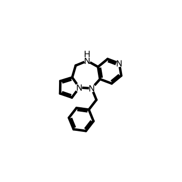 c1ccc(CN2c3ccncc3NCc3cccn32)cc1